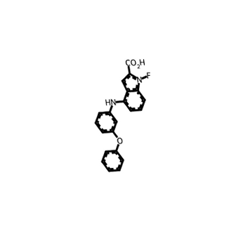 O=C(O)c1cc2c(Nc3cccc(Oc4ccccc4)c3)cccc2n1F